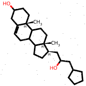 C[C@]12CCC(O)CC1=CCC1C2CC[C@@]2(C)C1CC[C@@H]2CC(O)CC1CCCC1